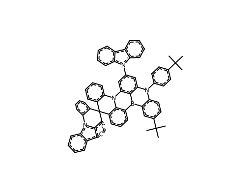 CC(C)(C)c1ccc(N2c3ccc(C(C)(C)C)cc3B3c4cccc5c4N(c4ccccc4C54c5ccccc5-n5c6ccccc6c6cccc4c65)c4cc(-n5c6ccccc6c6ccccc65)cc2c43)cc1